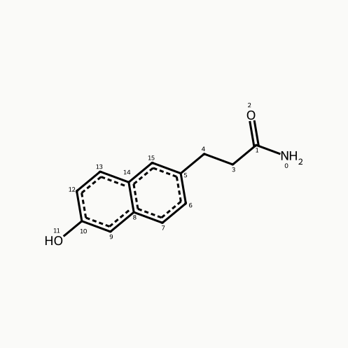 NC(=O)CCc1ccc2cc(O)ccc2c1